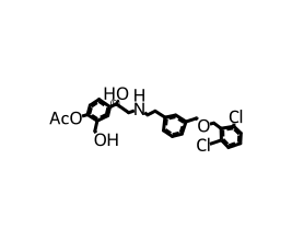 CC(=O)Oc1ccc([C@@H](O)CNCCc2cccc(COCc3c(Cl)cccc3Cl)c2)cc1CO